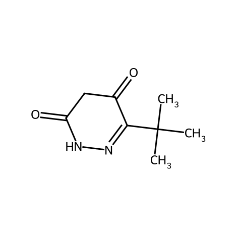 CC(C)(C)C1=NNC(=O)CC1=O